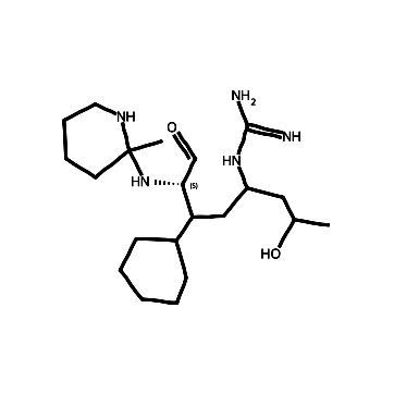 CC(O)CC(CC(C1CCCCC1)[C@@H](C=O)NC1(C)CCCCN1)NC(=N)N